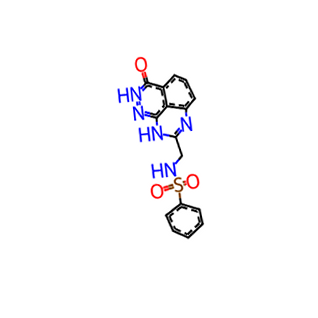 O=c1[nH]nc2c3c(cccc13)N=C(CNS(=O)(=O)c1ccccc1)N2